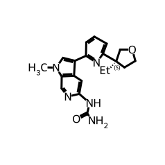 CC[C@@]1(c2cccc(-c3cn(C)c4cnc(NC(N)=O)cc34)n2)CCOC1